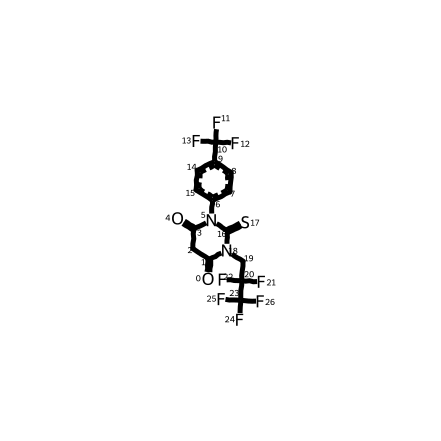 O=C1CC(=O)N(c2ccc(C(F)(F)F)cc2)C(=S)N1CC(F)(F)C(F)(F)F